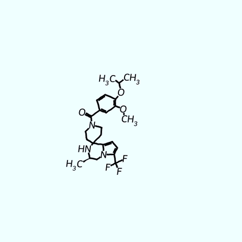 COc1cc(C(=O)N2CCC3(CC2)N[C@H](C)Cn2c(C(F)(F)F)ccc23)ccc1OC(C)C